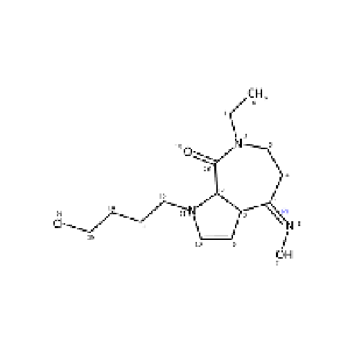 CCN1CC/C(=N/O)C2C=CN(CCCCCl)C2C1=O